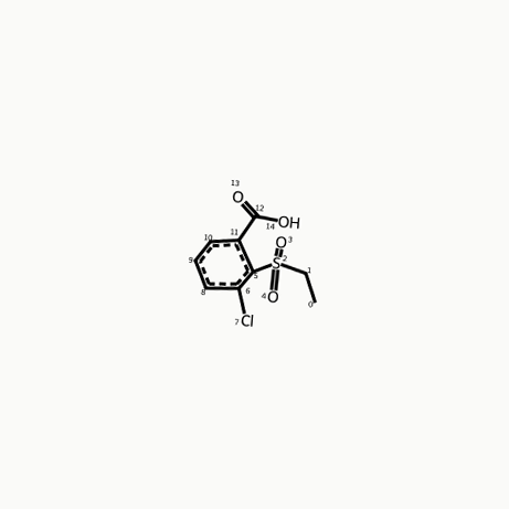 CCS(=O)(=O)c1c(Cl)cccc1C(=O)O